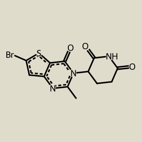 Cc1nc2cc(Br)sc2c(=O)n1C1CCC(=O)NC1=O